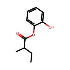 CCC(C)C(=O)Oc1ccccc1O